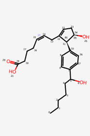 CCCCCC(O)c1ccc([C@H]2C(C/C=C\CCCC(=O)O)=CC[C@H]2O)cc1